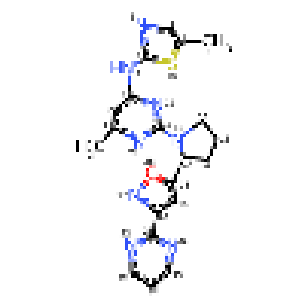 Cc1cc(Nc2ncc(C)s2)nc(N2CCC[C@H]2c2cc(-c3ncccn3)no2)n1